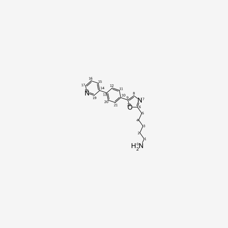 NCCCCCc1ncc(-c2ccc(-c3cccnc3)cc2)o1